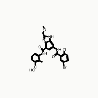 COCc1nc2c(C(=O)Nc3cccc(Cl)c3C)cc(NC(=O)c3cc(Br)ccc3Cl)cc2[nH]1.Cl